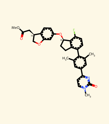 COC(=O)C[C@@H]1COc2cc(O[C@@H]3CCc4c(-c5c(C)cc(-c6ccn(C)c(=O)n6)cc5C)ccc(F)c43)ccc21